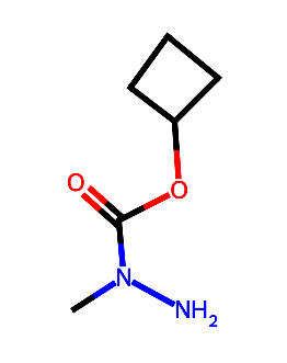 CN(N)C(=O)OC1CCC1